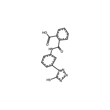 O=C(O)c1ccccc1C(=O)Nc1cccc(-n2nnnc2S)c1